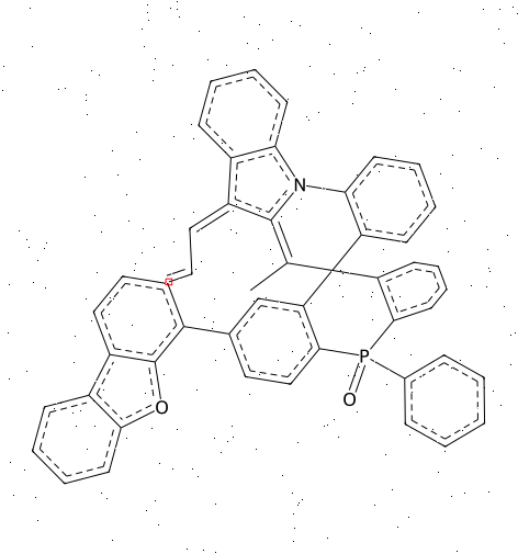 C=C/C=c1\c2n(c3ccccc13)-c1ccccc1C1(C=2C)c2ccccc2P(=O)(c2ccccc2)c2ccc(-c3cccc4c3oc3ccccc34)cc21